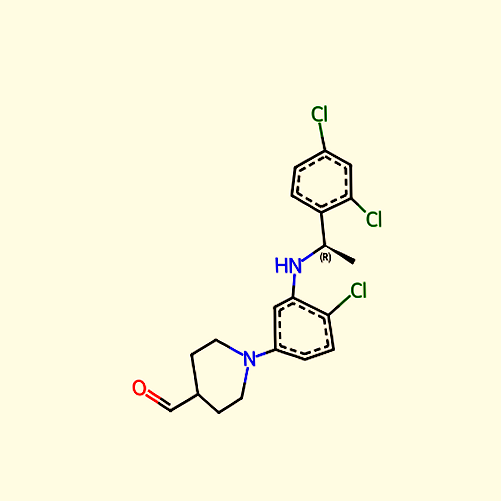 C[C@@H](Nc1cc(N2CCC(C=O)CC2)ccc1Cl)c1ccc(Cl)cc1Cl